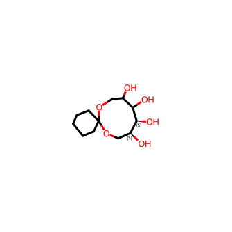 OC1COC2(CCCCC2)OC[C@H](O)[C@H](O)C1O